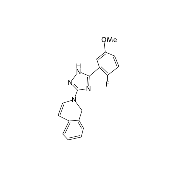 COc1ccc(F)c(-c2nc(N3C=Cc4ccccc4C3)n[nH]2)c1